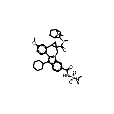 COc1ccc2c(c1)C1CC1(C(=O)N(C)C1CC3CCC1N3C)Cn1c-2c(C2CCCCC2)c2ccc(C(=O)NS(=O)(=O)N(C)C)cc21